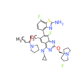 C=CC(=O)N1CC[C@@H](N(c2nc(OC[C@@]34CCCN3C[C@H](F)C4)nc3c(F)c(-c4ccc(F)c5sc(N)nc45)c(C(F)(F)F)cc23)C2CC2)C1